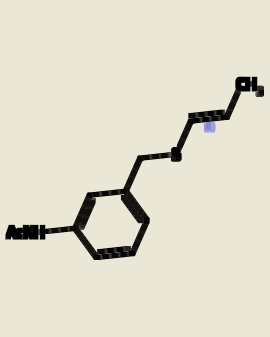 C/C=C/SCc1cccc(NC(C)=O)c1